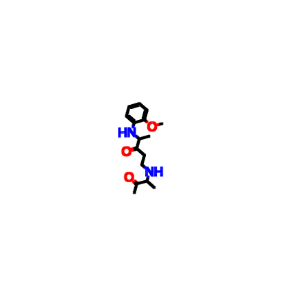 COc1ccccc1NC(C)C(=O)CCNC(C)C(C)=O